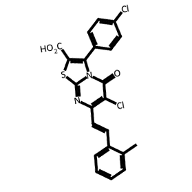 Cc1ccccc1/C=C/c1nc2sc(C(=O)O)c(-c3ccc(Cl)cc3)n2c(=O)c1Cl